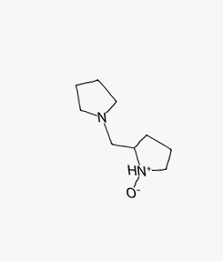 [O-][NH+]1CCCC1CN1CCCC1